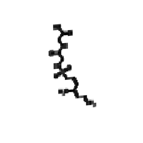 C=C/C=C(C)\C=C/CS(=O)(=O)NCC(=O)NCC(=O)O